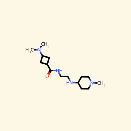 CN1CCC(NCCNC(=O)C2CC(N(C)C)C2)CC1